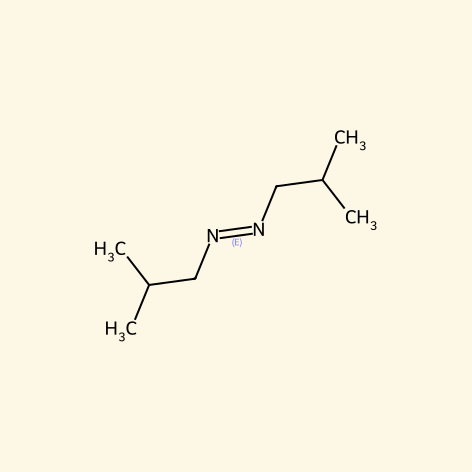 CC(C)C/N=N/CC(C)C